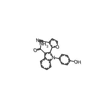 N#Cc1ccoc1-c1c(C(N)=O)c2ccccc2n1-c1ccc(O)cc1